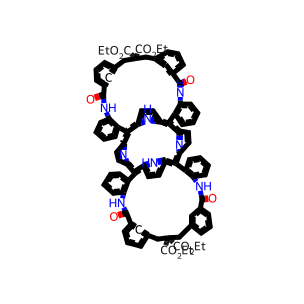 CCOC(=O)C1(C(=O)OCC)Cc2cccc(c2)C(=O)Nc2ccccc2-c2c3nc(c4c5ccc([nH]5)c(c5nc(c(c6ccc2[nH]6)-c2ccccc2NC(=O)c2cccc(c2)C1)C=C5)-c1ccccc1NC(=O)c1cccc(c1)CC(C(=O)OCC)(C(=O)OCC)Cc1cccc(c1)C(=O)Nc1ccccc1-4)C=C3